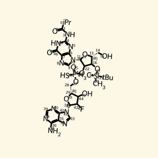 CC(C)C(=O)Nc1nc2c(ncn2[C@@H]2O[C@H](CO)C(O[Si](C)(C)C(C)(C)C)C2OP(=O)(S)OC[C@H]2O[C@@H](n3cnc4c(N)ncnc43)C(F)C2O)c(=O)[nH]1